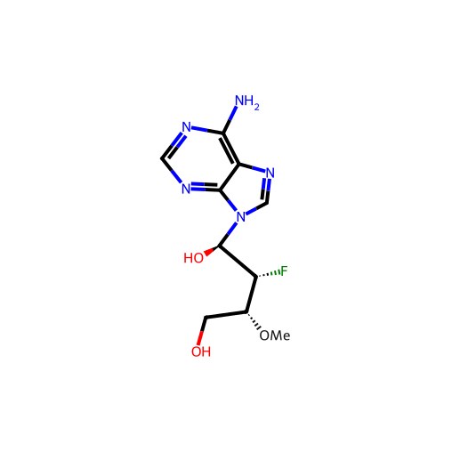 CO[C@H](CO)[C@@H](F)[C@@H](O)n1cnc2c(N)ncnc21